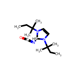 CCC(C)(C)N1C=CN(C(C)(C)CC)[SiH]1N=C=O